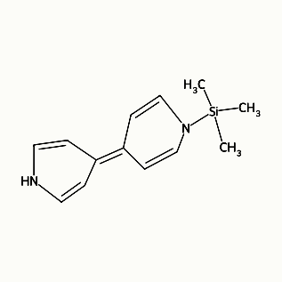 C[Si](C)(C)N1C=CC(=C2C=CNC=C2)C=C1